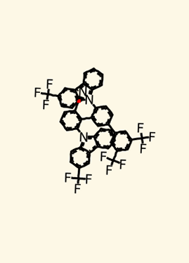 N#Cc1cccc(-n2c3ccccc3c3cc(C(F)(F)F)ccc32)c1-c1cc(-c2cc(C(F)(F)F)cc(C(F)(F)F)c2)ccc1-n1c2ccccc2c2cc(C(F)(F)F)ccc21